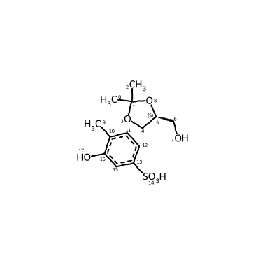 CC1(C)OC[C@H](CO)O1.Cc1ccc(S(=O)(=O)O)cc1O